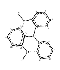 COc1ccnnc1P(c1ccccc1)c1nnccc1OC